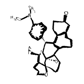 CN(C)c1ccc([C@H]2C[C@@]3(C)C(CC[C@]34OCCC4=C(F)F)C3CCC4=CC(=O)CCC4=C32)cc1